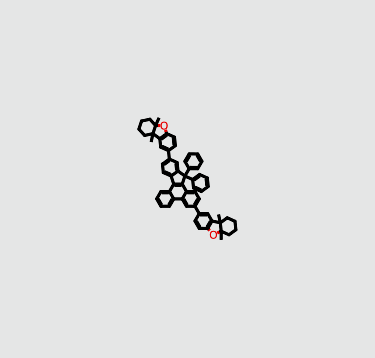 CC12CCCCC1(C)c1cc(-c3ccc4c(c3)C(c3ccccc3)(c3ccccc3)c3c-4c4ccccc4c4cc(-c5ccc6c(c5)C5(C)CCCCC5(C)O6)ccc34)ccc1O2